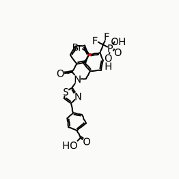 O=C(O)c1ccc(-c2csc(N(Cc3ccc(C(F)(F)P(=O)(O)O)c(Br)c3)C(=O)c3ccccc3)n2)cc1